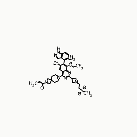 C=CC(=O)N1CC2(CCN(c3nc(C4CN(CCS(C)(=O)=O)C4)nc4c(OCC(F)(F)F)c(-c5c(C)ccc6[nH]ncc56)c(CC)cc34)CC2)C1